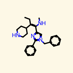 CC/C(=C(\NC)c1cn(Cc2ccccc2)c(-c2ccccc2)n1)C1CCNCC1